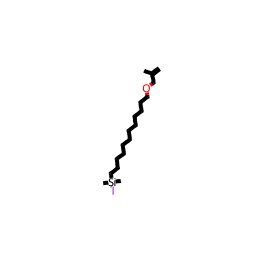 C=C(C)COCCCCCCCCCCCC[Si](C)(C)I